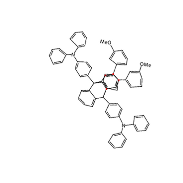 COc1cccc(-c2ccc3c(c2)C2(c4ccc(N(c5ccccc5)c5ccccc5)cc4)c4ccccc4C3(c3ccc(N(c4ccccc4)c4ccccc4)cc3)c3cc(-c4cccc(OC)c4)ccc32)c1